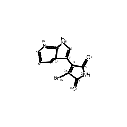 O=C1NC(=O)C(c2c[nH]c3ncccc23)=C1Br